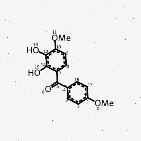 COc1ccc(C(=O)c2ccc(OC)c(O)c2O)cc1